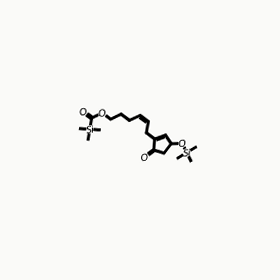 C[Si](C)(C)OC1C=C(C/C=C\CCCOC(=O)[Si](C)(C)C)C(=O)C1